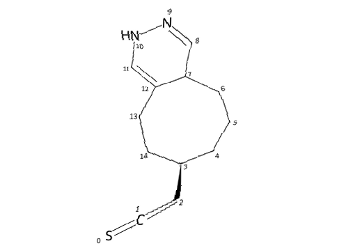 S=C=C[C@@H]1CCCC2C=NNC=C2CC1